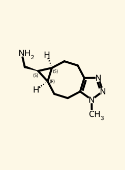 Cn1nnc2c1CC[C@H]1[C@@H](CN)[C@H]1CC2